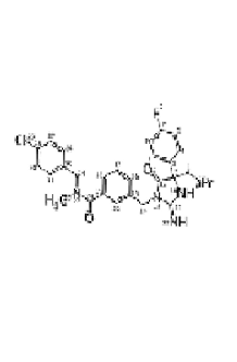 CC(C)CC1(c2ccc(F)cc2)NC(=N)N(Cc2cccc(C(=O)N(C)Cc3ccc(Cl)cc3)c2)C1=O